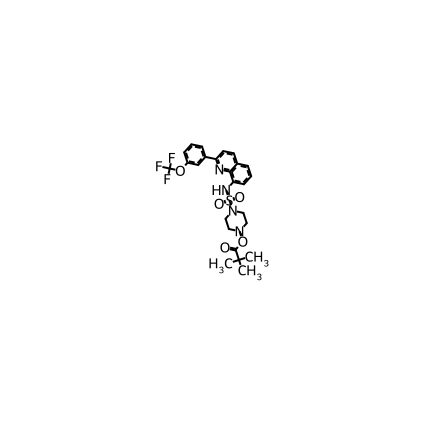 CC(C)(C)C(=O)ON1CCN(S(=O)(=O)Nc2cccc3ccc(-c4cccc(OC(F)(F)F)c4)nc23)CC1